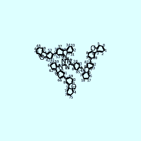 c1ccc2c(c1)oc1ccc(-c3ccc4c5ccccc5n(-c5ccc(-c6nc(-n7c8ccccc8c8ccc(-c9ccc%10oc%11ccccc%11c%10c9)cc87)nc(-n7c8ccccc8c8ccc(-c9ccc%10oc%11ccccc%11c%10c9)cc87)n6)cc5)c4c3)cc12